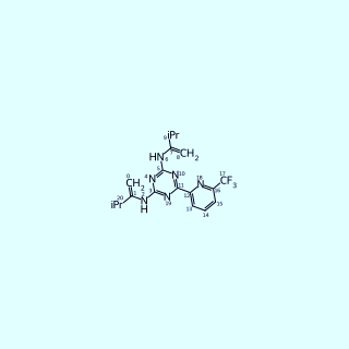 C=C(Nc1nc(NC(=C)C(C)C)nc(-c2cccc(C(F)(F)F)n2)n1)C(C)C